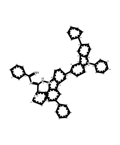 N=C(/N=C(\Nn1c2ccc(-c3ccccc3)cc2c2cc(-c3ccc4c(c3)c3cc(-c5ccccc5)ccc3n4-c3ccccc3)ccc21)c1ccccc1)c1ccccc1